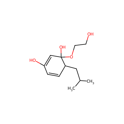 CC(C)CC1C=CC(O)=CC1(O)OCCO